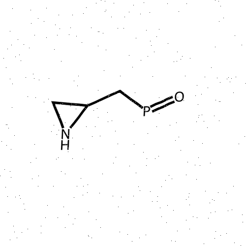 O=PCC1CN1